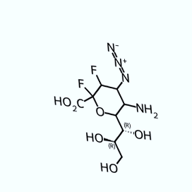 [N-]=[N+]=NC1C(N)C([C@H](O)[C@H](O)CO)OC(F)(C(=O)O)C1F